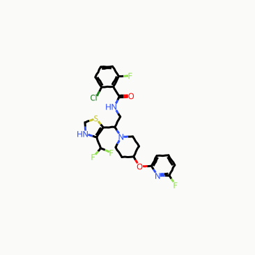 O=C(NCC(C1=C(C(F)F)NCS1)N1CCC(Oc2cccc(F)n2)CC1)c1c(F)cccc1Cl